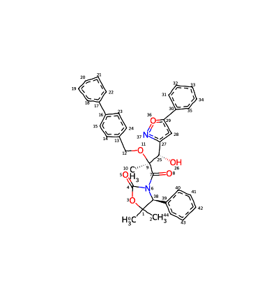 CC1(C)OC(=O)N(C(=O)[C@@](C)(OCc2ccc(-c3ccccc3)cc2)[C@@H](O)c2cc(-c3ccccc3)on2)[C@H]1c1ccccc1